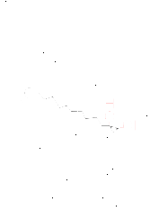 CCCCCCCCCCCC1(O)CC1O